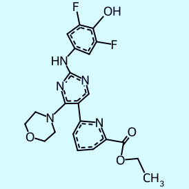 CCOC(=O)c1cccc(-c2cnc(Nc3cc(F)c(O)c(F)c3)nc2N2CCOCC2)n1